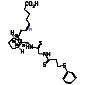 O=C(O)CCC/C=C\C[C@H]1[C@@H](CNC(=S)CNC(=S)CCSc2ccccc2)[C@H]2CC[C@@H]1O2